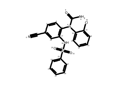 N#Cc1ccc(N(C(N)=O)c2ccccc2Cl)c(NS(=O)(=O)c2ccccc2)c1